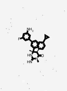 CN1C(=N)N[C@](C)(c2cccc(-c3cc(N)cc(F)c3)c2)[C@@H](c2ccc(C3CC3)cc2)C1=O